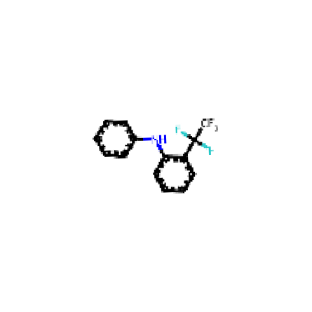 FC(F)(F)C(F)(F)c1ccccc1Nc1cc[c]cc1